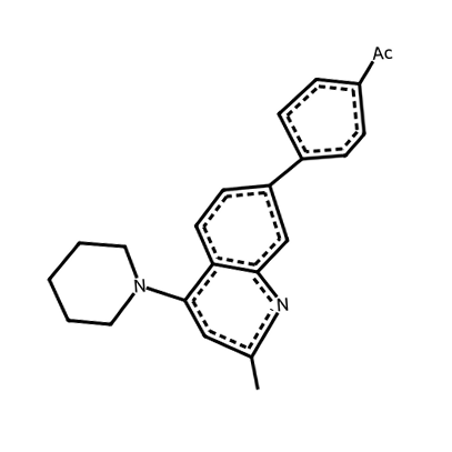 CC(=O)c1ccc(-c2ccc3c(N4CCCCC4)cc(C)nc3c2)cc1